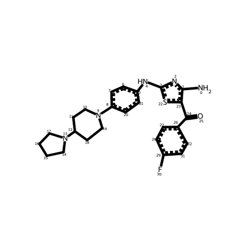 Nc1nc(Nc2ccc(N3CCC(N4CCCC4)CC3)cc2)sc1C(=O)c1ccc(F)cc1